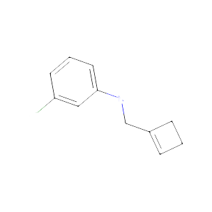 Clc1cccc(NCC2=CCC2)c1